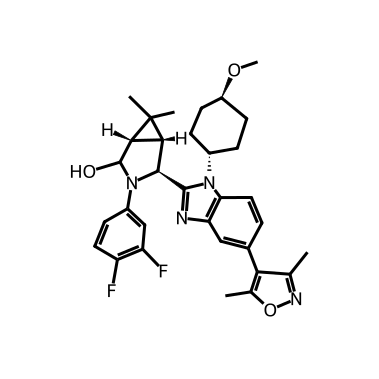 CO[C@H]1CC[C@H](n2c([C@@H]3[C@@H]4[C@H](C(O)N3c3ccc(F)c(F)c3)C4(C)C)nc3cc(-c4c(C)noc4C)ccc32)CC1